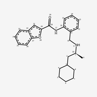 C[C@@H](CC1CCCCC1)NCc1ccccc1NC(=O)c1cc2ccccc2o1